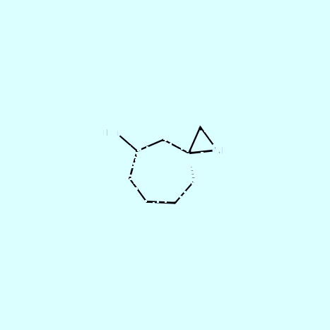 CC(C)(C)C1CCCC[C@@]2(CN2)C1